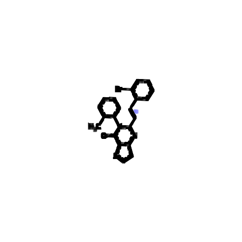 Cc1ccccc1-n1c(/C=C/c2ccccc2Br)nc2ccsc2c1=O